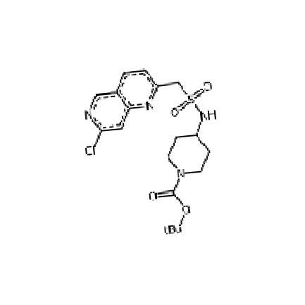 CC(C)(C)OC(=O)N1CCC(NS(=O)(=O)Cc2ccc3cnc(Cl)cc3n2)CC1